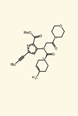 COC(=O)c1sc(C#CC(C)(C)C)cc1N(CC(=O)N1CCOCC1)C(=O)[C@@H]1CC=C(C)CC1